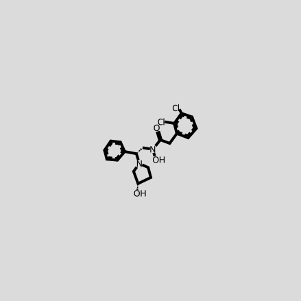 O=C(Cc1cccc(Cl)c1Cl)N(O)C[C@@H](c1ccccc1)N1CC[C@H](O)C1